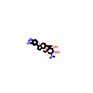 CN(C)[C@H]1C[C@@]23CC[C@@]4(O2)C(=CC[C@]2(C)C(c5ccc6nn[nH]c6c5)=CCC24)C2CC23[C@@H](O)[C@@H]1O